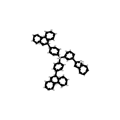 c1cc(-c2cc3ccccc3o2)cc(N(c2ccc(-c3cc4ccccc4c4ccccc34)cc2)c2ccc(-c3cc4ccccc4c4ccccc34)cc2)c1